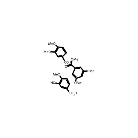 COC(=O)c1cc(OC)cc(OC)c1.COc1ccc(C(=O)O)cc1O.COc1ccc(C(=O)O)cc1OC